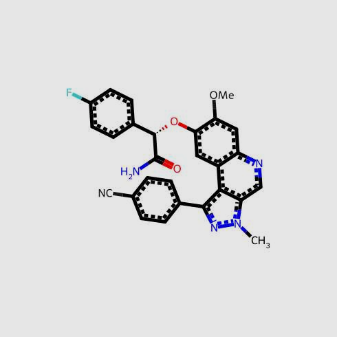 COc1cc2ncc3c(c(-c4ccc(C#N)cc4)nn3C)c2cc1O[C@H](C(N)=O)c1ccc(F)cc1